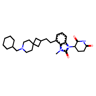 Cn1c(=O)n(C2CCC(=O)NC2=O)c2cccc(CCC3CC4(CCN(CC5CCCCC5)CC4)C3)c21